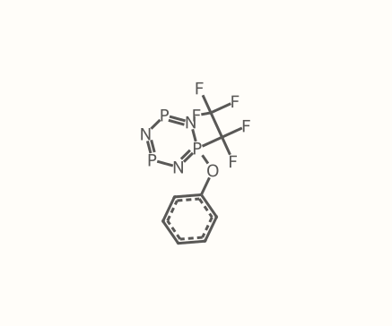 FC(F)(F)C(F)(F)P1(Oc2ccccc2)=NP=NP=N1